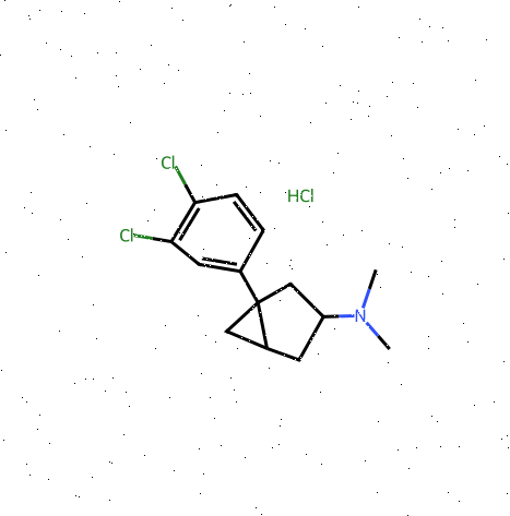 CN(C)C1CC2CC2(c2ccc(Cl)c(Cl)c2)C1.Cl